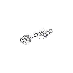 C/C(=N/OCc1ccccc1Cl)[C@H]1O[C@@H](Oc2ccc(/C=C(\C)C(=O)N[C@@H]3[C@H](O)[C@@H](O)[C@H]4OCO[C@H]4[C@@H]3O)cc2O)[C@](C)(O)[C@@H]1O